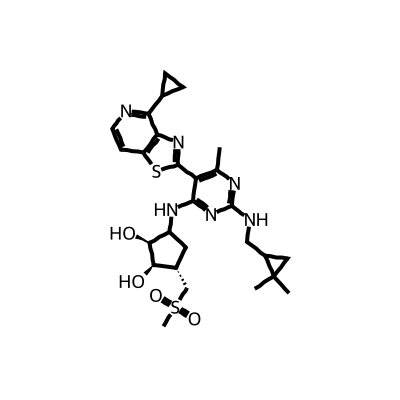 Cc1nc(NCC2CC2(C)C)nc(NC2C[C@H](CS(C)(=O)=O)[C@@H](O)[C@H]2O)c1-c1nc2c(C3CC3)nccc2s1